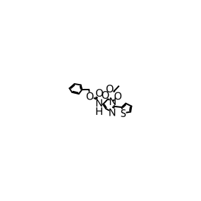 CC(=O)On1c(-c2cccs2)ncc(NC(=O)OCc2ccccc2)c1=O